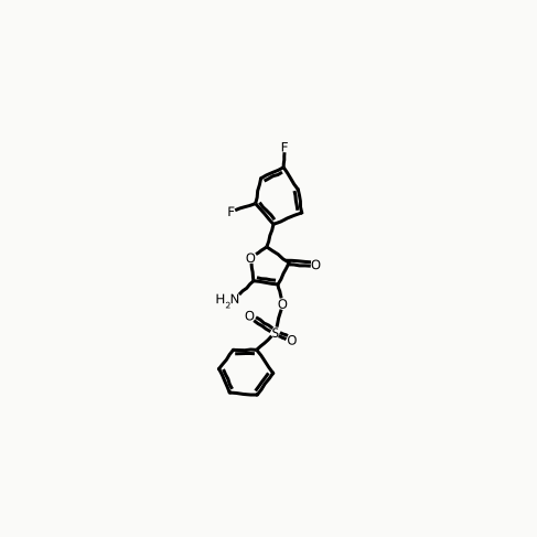 NC1=C(OS(=O)(=O)c2ccccc2)C(=O)C(c2ccc(F)cc2F)O1